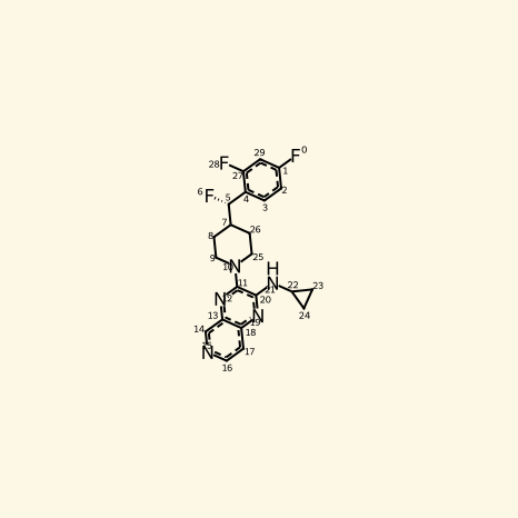 Fc1ccc([C@@H](F)C2CCN(c3nc4cnccc4nc3NC3CC3)CC2)c(F)c1